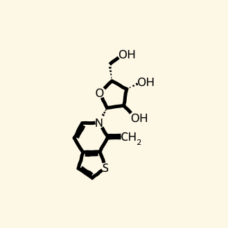 C=C1c2sccc2C=CN1[C@@H]1O[C@H](CO)[C@H](O)C1O